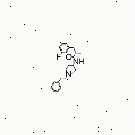 CC(Cc1cccc(F)c1)C(=O)NC1CCN(CCc2ccccc2)CC1